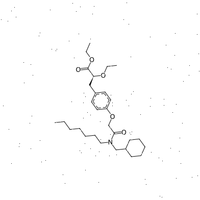 CCCCCCCN(CC1CCCCC1)C(=O)COc1ccc(C[C@H](OCC)C(=O)OCC)cc1